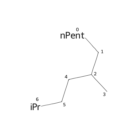 CCCCCCC(C)CCC(C)C